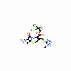 Cn1nnnc1SCC1=C(C(=O)OCC(Cl)(Cl)Cl)N2C(=O)C(N)[C@H]2SC1